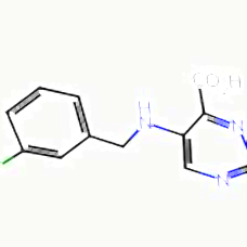 O=C(O)c1ncncc1NCc1cccc(F)c1